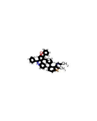 C=C/C=C\c1c(C)sc2cccc(-c3cccc(-c4c5c(cc6c(-c7ccccc7)nc7ccccc7c46)oc4ccccc45)c3)c12